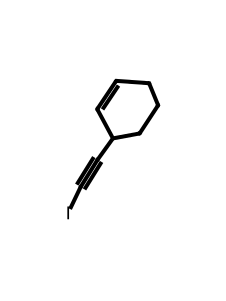 IC#CC1C=CCCC1